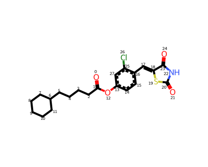 O=C(CCCCC1CCCCC1)Oc1ccc(/C=C2\SC(=O)NC2=O)c(Cl)c1